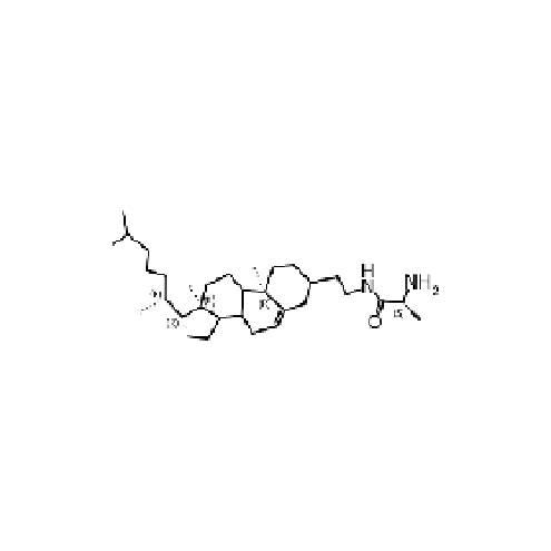 CC(C)CCC[C@@H](C)[C@H]1CCC2C3CC=C4CC(CCNC(=O)[C@H](C)N)CC[C@]4(C)C3CC[C@@]21C